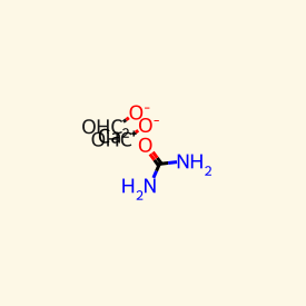 NC(N)=O.O=C[O-].O=C[O-].[Ca+2]